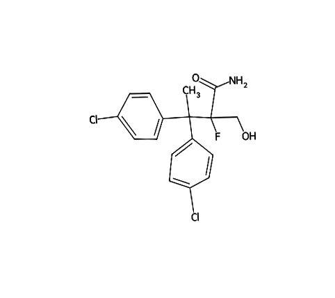 CC(c1ccc(Cl)cc1)(c1ccc(Cl)cc1)C(F)(CO)C(N)=O